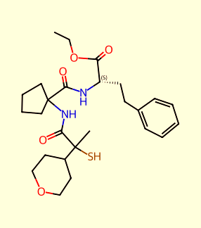 CCOC(=O)[C@H](CCc1ccccc1)NC(=O)C1(NC(=O)C(C)(S)C2CCOCC2)CCCC1